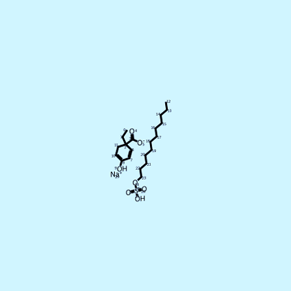 CCC1(C(=O)[O-])C=CC(O)=CC1.CCCCCCCCCCCCOS(=O)(=O)O.[Na+]